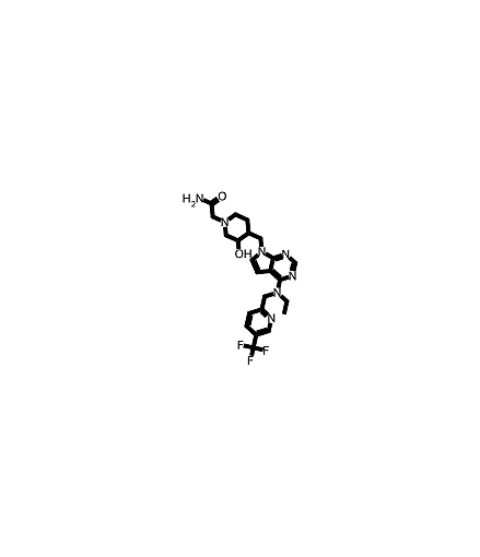 CCN(Cc1ccc(C(F)(F)F)cn1)c1ncnc2c1ccn2CC1CCN(CC(N)=O)CC1O